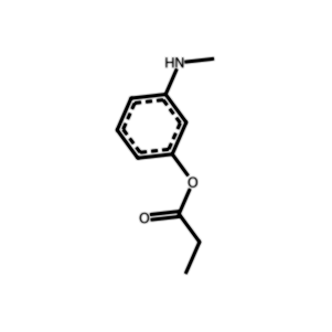 CCC(=O)Oc1cccc(NC)c1